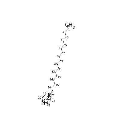 CCCCCCCCCCCCCCCCCC[N+]12CCN(CC1)CC2